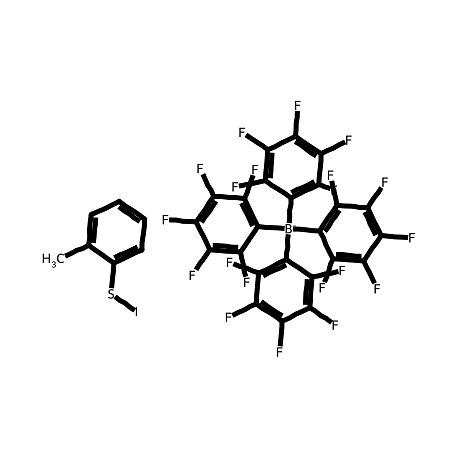 Cc1ccccc1SI.Fc1c(F)c(F)c([B-](c2c(F)c(F)c(F)c(F)c2F)(c2c(F)c(F)c(F)c(F)c2F)c2c(F)c(F)c(F)c(F)c2F)c(F)c1F